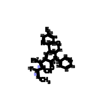 C/C=C(F)\C(C#N)=C(/CC)c1cc2c(n(-c3cccnc3)c1=O)COc1cc(F)cnc1-2